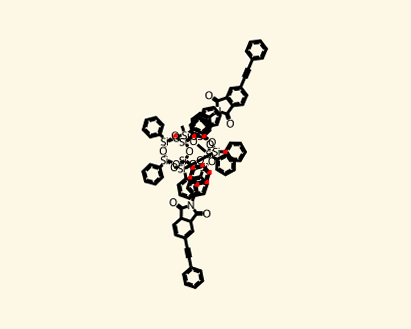 C[Si]1(c2ccc(N3C(=O)c4ccc(C#Cc5ccccc5)cc4C3=O)cc2)O[Si]2(c3ccccc3)O[Si]3(c4ccccc4)O[Si]4(c5ccccc5)O[Si](C)(c5ccc(N6C(=O)C7C=CC(C#Cc8ccccc8)=CC7C6=O)cc5)O[Si]5(c6ccccc6)O[Si](c6ccccc6)(O[Si](c6ccccc6)(O1)O[Si](c1ccccc1)(O5)O[Si](c1ccccc1)(O2)O4)O3